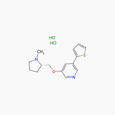 CN1CCC[C@H]1COc1cncc(-c2cccs2)c1.Cl.Cl